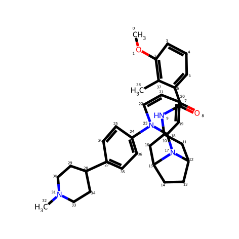 COc1cccc(C(=O)NC2CC3CCC(C2)N3C2C=CC=CN2c2ccc(C3CCN(C)CC3)cc2)c1C